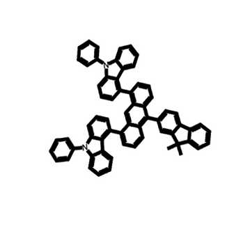 CC1(C)c2ccccc2-c2ccc(-c3c4cccc(-c5cccc6c5c5ccccc5n6-c5ccccc5)c4cc4c(-c5cccc6c5c5ccccc5n6-c5ccccc5)cccc34)cc21